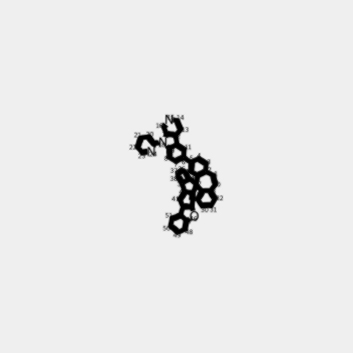 C1=Cc2ccc(-c3ccc4c(c3)c3ccncc3n4-c3ccccn3)cc2C2(c3ccccc31)c1ccccc1-c1cc3c(cc12)oc1ccccc13